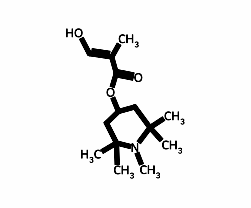 CC(=CO)C(=O)OC1CC(C)(C)N(C)C(C)(C)C1